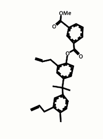 C=CCc1cc(C(C)(C)c2ccc(OC(=O)c3cccc(C(=O)OC)c3)c(CC=C)c2)ccc1C